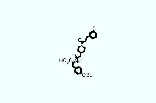 CC(C)COc1ccc(C[C@H](NC(=O)CC2CCN(C(=O)CCc3cccc(F)c3)CC2)C(=O)O)cc1